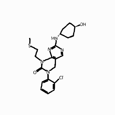 CSCCN1C(=O)N(c2ccccc2Cl)Cc2cnc(N[C@H]3CC[C@H](O)CC3)nc21